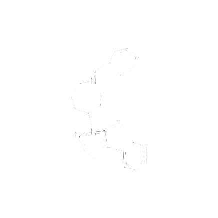 O=c1c(-c2ccccc2)ccnn1C1CCCN(Cc2ccccc2)CC1